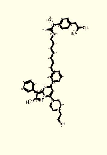 Cc1nn2c(N3CCN(CCO)CC3)cc(-c3cccc(CCCCCCCNC(=O)[C@H](C)c4ccc(CC(C)C)cc4)c3)nc2c1-c1ccccc1